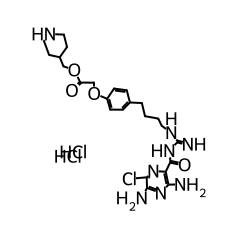 Cl.Cl.N=C(NCCCCc1ccc(OCC(=O)OCC2CCNCC2)cc1)NC(=O)c1nc(Cl)c(N)nc1N